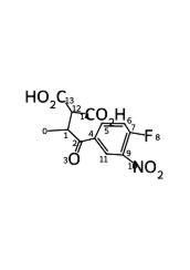 CC(C(=O)c1ccc(F)c([N+](=O)[O-])c1)C(C(=O)O)C(=O)O